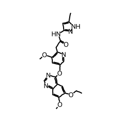 CCOc1cc2c(Oc3cnc(CC(=O)Nc4cc(C)[nH]n4)c(OC)c3)ncnc2cc1OC